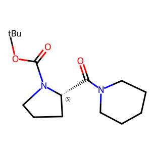 CC(C)(C)OC(=O)N1CCC[C@H]1C(=O)N1CCCCC1